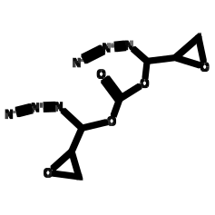 [N-]=[N+]=NC(OC(=O)OC(N=[N+]=[N-])C1CO1)C1CO1